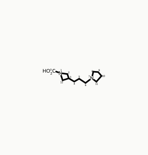 O=C(O)N1CC(CCCN2CCCC2)C1